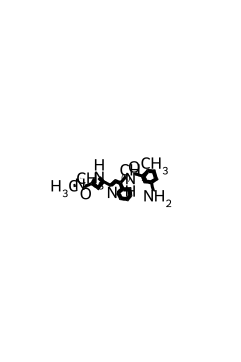 Cc1ccc(CN)cc1C(=O)N[C@H](C)c1cc(-c2cc(C(=O)N(C)C)c[nH]2)nc2ccccc12